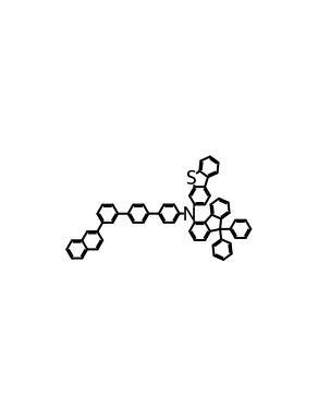 c1ccc(C2(c3ccccc3)c3ccccc3-c3c(N(c4ccc(-c5ccc(-c6cccc(-c7ccc8ccccc8c7)c6)cc5)cc4)c4ccc5c(c4)sc4ccccc45)cccc32)cc1